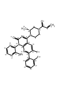 C=CC(=O)N1CCN(c2nc(=O)n(-c3nccnc3C(C)C)c3nc(-c4ccccc4F)c(F)cc23)[C@@H](C)C1